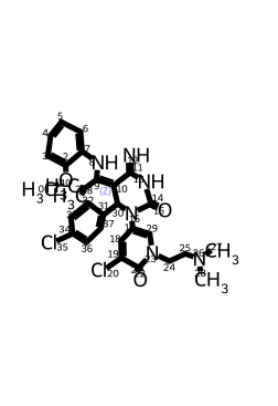 COc1ccccc1N/C(=C1\C(=N)NC(=O)N(c2cc(Cl)c(=O)n(CCN(C)C)c2)C1c1ccc(Cl)cc1)C(C)C